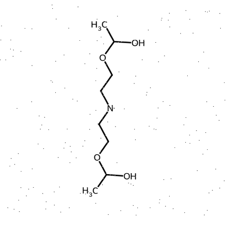 CC(O)OCC[N]CCOC(C)O